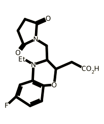 CCN1c2cc(F)ccc2OC(CC(=O)O)C1CN1C(=O)CCC1=O